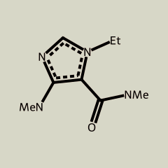 CCn1cnc(NC)c1C(=O)NC